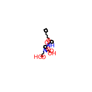 O=C(O)CCCN1CC(C(=O)O)Oc2c(NC(=O)c3ccccc3OCCCCc3ccccc3)cccc21